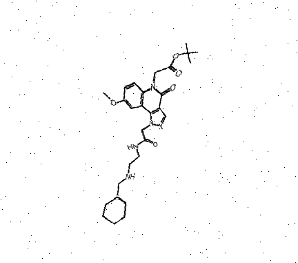 COc1ccc2c(c1)c1c(cnn1CC(=O)NCCNCC1CCCCC1)c(=O)n2CC(=O)OC(C)(C)C